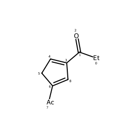 CCC(=O)C1=CCC(C(C)=O)=C1